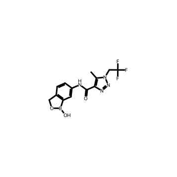 Cc1c(C(=O)Nc2ccc3c(c2)B(O)OC3)nnn1CC(F)(F)F